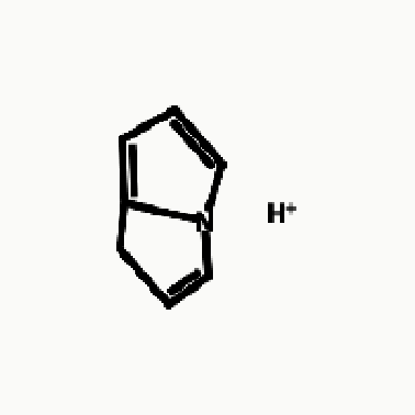 C1=Cn2cccc2C1.[H+]